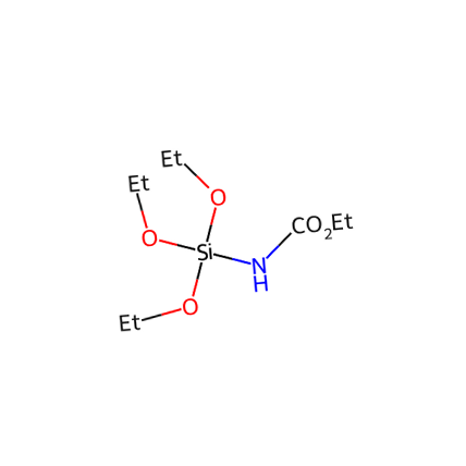 [CH2]COC(=O)N[Si](OCC)(OCC)OCC